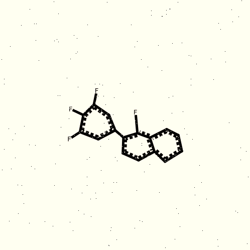 Fc1cc(-c2ccc3ccccc3c2F)cc(F)c1F